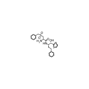 NC(CS(=O)(=O)Cc1ccccc1)C(=O)N[C@H](CCc1ccccc1)[C@H](O)c1nccs1